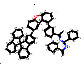 C=C(/N=C(\N=C(/C)c1cccc(-c2cccc3oc4ccc(-c5ccc6c(c5)C5(c7ccccc7-c7ccccc75)c5ccccc5-6)cc4c23)c1)c1ccccc1)c1ccccc1